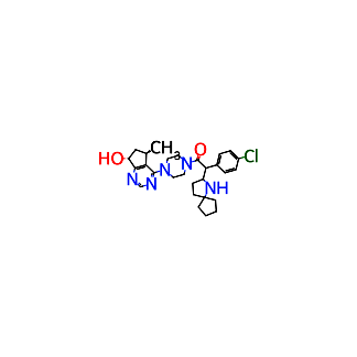 C[C@@H]1C[C@@H](O)c2ncnc(N3CCN(C(=O)C(c4ccc(Cl)cc4)C4CCC5(CCCC5)N4)CC3)c21